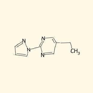 CCc1cnc(-n2c[c]cn2)nc1